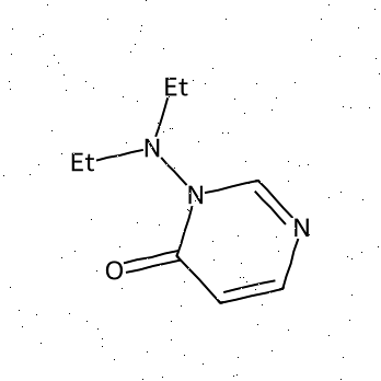 CCN(CC)n1cnccc1=O